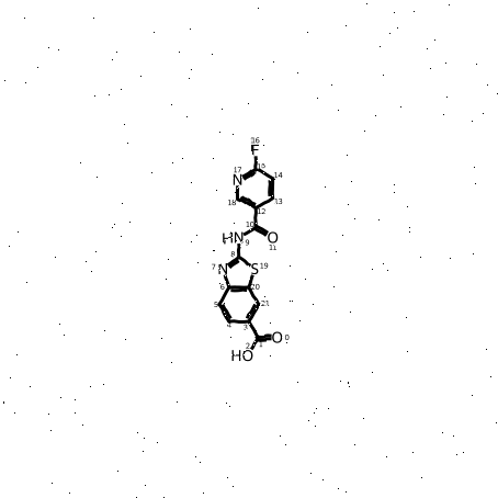 O=C(O)c1ccc2nc(NC(=O)c3ccc(F)nc3)sc2c1